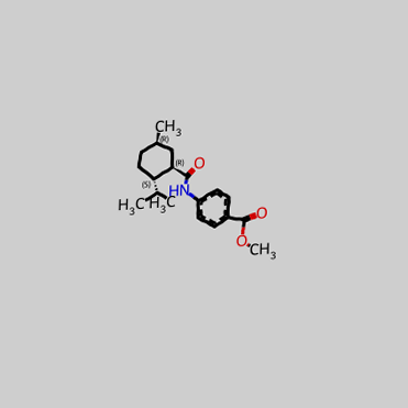 COC(=O)c1ccc(NC(=O)[C@@H]2C[C@H](C)CC[C@H]2C(C)C)cc1